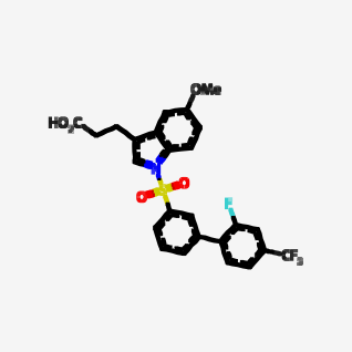 COc1ccc2c(c1)c(CCC(=O)O)cn2S(=O)(=O)c1cccc(-c2ccc(C(F)(F)F)cc2F)c1